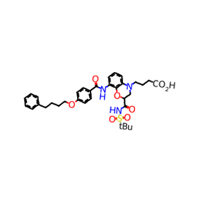 CC(C)(C)S(=O)(=O)NC(=O)C1CN(CCCC(=O)O)c2cccc(NC(=O)c3ccc(OCCCCc4ccccc4)cc3)c2O1